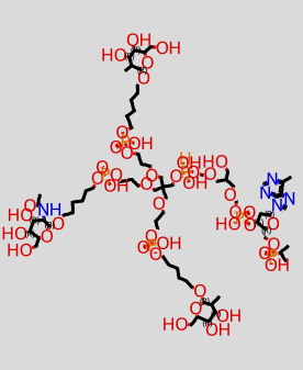 CC(=O)NC1[C@H](OCCCCCCOP(=O)(O)OCCCOCC(COCCCOP(=O)(O)OCCCCCCO[C@@H]2OC(CO)[C@H](O)[C@H](O)C2C)(COCCCOP(=O)(O)OCCCCCCO[C@@H]2OC(CO)[C@H](O)[C@H](O)C2C)CO[PH](O)(O)OCOCC(CO)COCOP(=O)(O)O[C@H]2C[C@H](n3cnc4c(C)ncnc43)O[C@@H]2COP(=O)(O)C(C)C)OC(CO)[C@H](O)[C@@H]1O